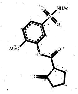 COc1ccc(S(=O)(=O)NC(C)=O)cc1NC(=O)C1CCCC1=O